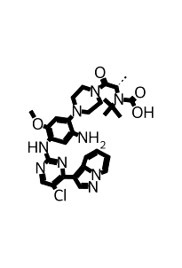 COc1cc(N2CCN(C(=O)[C@H](C)N(C(=O)O)C(C)(C)C)CC2)c(N)cc1Nc1ncc(Cl)c(-c2cnn3ccccc23)n1